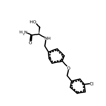 NC(=O)[C@@H](CO)NCc1ccc(OCc2cccc(Cl)c2)cc1